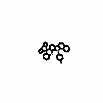 Cc1ccc(-n2c3c4c(ccc3c3ccc5ccccc5c32)C2(c3ccccc3S4)c3ccccc3-c3ccccc32)cc1